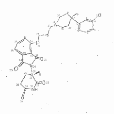 CC1(c2cccc(Cl)c2)CCN(CCCOc2cccc3c2C(=O)N([C@@]2(C)CCC(=O)NC2=O)C3=O)CC1